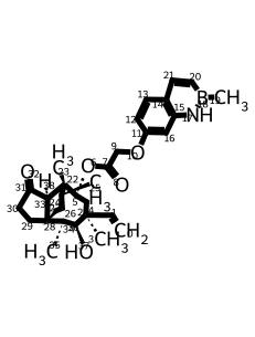 C=C[C@]1(C)C[C@@H](OC(=O)COc2ccc3c(c2)NB(C)C=C3)[C@]2(C)[C@H](C)CC[C@]3(CCC(=O)[C@H]32)[C@@H](C)[C@@H]1O